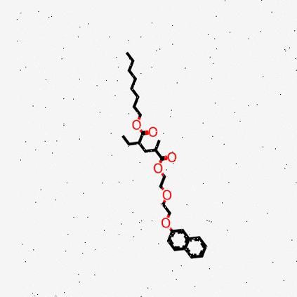 CCCCCCCCOC(=O)C(CC)CC(C)C(=O)OCCOCCOc1ccc2ccccc2c1